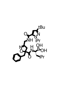 CC(C)C[C@H](NC(=O)C1(Cc2ccccc2)CC(CNC(=O)c2cc(C(C)(C)C)nn2C(C)C)=NO1)B(O)O